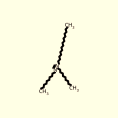 CCCCCCCCCCCCCCCCCCn1cc[n+](CCCCCCCCCCC)c1CCCCCCCCCC